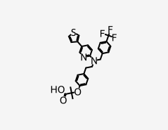 CC(C)(Oc1ccc(CCN(Cc2ccc(C(F)(F)F)cc2)c2ccc(-c3ccsc3)cn2)cc1)C(=O)O